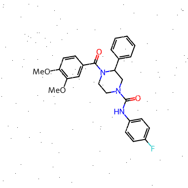 COc1ccc(C(=O)N2CCN(C(=O)Nc3ccc(F)cc3)CC2c2ccccc2)cc1OC